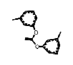 C=C(Oc1cccc(C)c1)Oc1cccc(C)c1